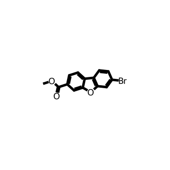 COC(=O)c1ccc2c(c1)oc1cc(Br)ccc12